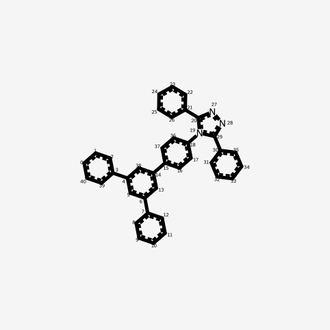 c1ccc(-c2cc(-c3ccccc3)cc(-c3ccc(-n4c(-c5ccccc5)nnc4-c4ccccc4)cc3)c2)cc1